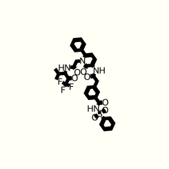 CC(C)C(NC(=O)Cn1c(-c2ccccc2)ccc(NC(=O)Cc2cccc(C(=O)NS(=O)(=O)c3ccccc3)c2)c1=O)C(=O)C(F)(F)F